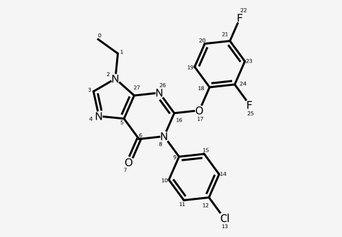 CCn1cnc2c(=O)n(-c3ccc(Cl)cc3)c(Oc3ccc(F)cc3F)nc21